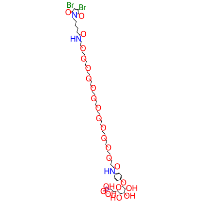 O=C(CCCCCN1C(=O)C(Br)=C(Br)C1=O)NCCOCCOCCOCCOCCOCCOCCOCCOCCOCCOCCOCCOCCC(=O)Nc1ccc(O[C@H]2O[C@H](CCP(=O)(O)O)[C@@H](O)[C@H](O)[C@@H]2O)cc1